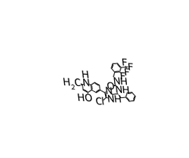 C=C1C=C(O)c2cc(-c3nc([C@H](Cc4ccccc4)NC(=O)NCc4cccc(C(F)(F)F)c4F)[nH]c3Cl)ccc2N1